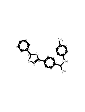 CCC(C)C(Nc1ccc(C)cc1)c1ccc(C2=NOC(c3ccccc3)N2)cc1